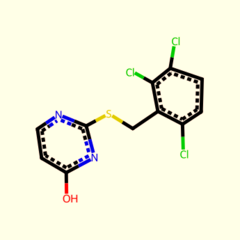 Oc1ccnc(SCc2c(Cl)ccc(Cl)c2Cl)n1